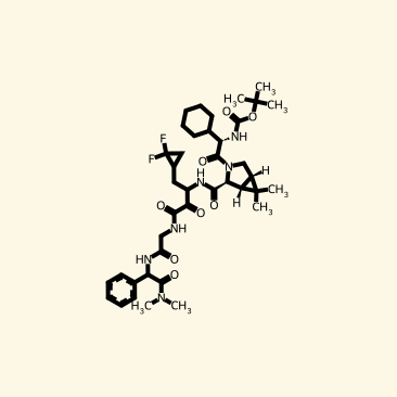 CN(C)C(=O)C(NC(=O)CNC(=O)C(=O)C(CC1CC1(F)F)NC(=O)[C@@H]1[C@@H]2[C@H](CN1C(=O)[C@@H](NC(=O)OC(C)(C)C)C1CCCCC1)C2(C)C)c1ccccc1